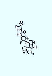 CC1OCCCC1c1c[nH]c2nccc(Oc3c(F)cc(NC(=O)NCC4(C(C)C)COC4)cc3F)c12